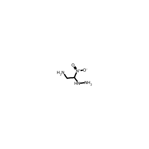 NCC(NN)[N+](=O)[O-]